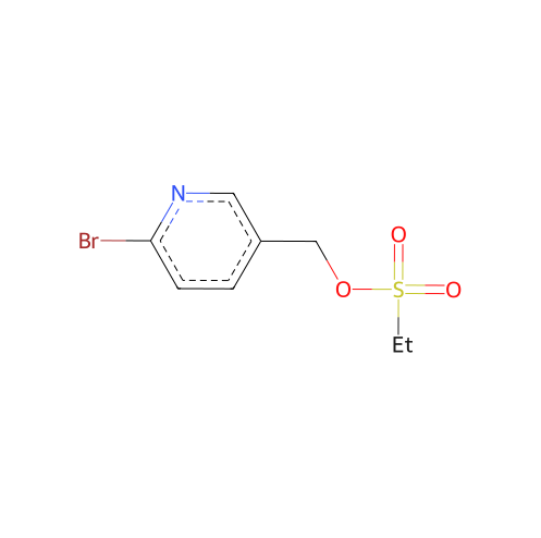 CCS(=O)(=O)OCc1ccc(Br)nc1